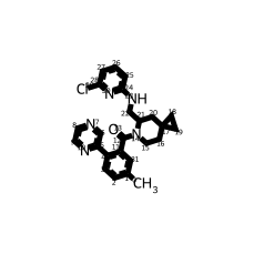 Cc1ccc(-c2cnccn2)c(C(=O)N2CCC3(CC3)CC2CNc2cccc(Cl)n2)c1